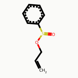 C=CCOS(=O)c1ccccc1